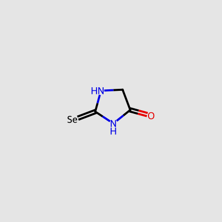 O=C1CNC(=[Se])N1